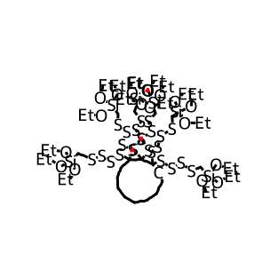 CCO[Si](CSSSSC1(SSSSC[Si](OCC)(OCC)OCC)CCCCCCCCCC(SSSSC[Si](OCC)(OCC)OCC)(SSSSC[Si](OCC)(OCC)OCC)C1(SSSSC[Si](OCC)(OCC)OCC)SSSSC[Si](OCC)(OCC)OCC)(OCC)OCC